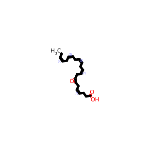 CC/C=C\C/C=C\C/C=C\C/C=C\CC1OC1C/C=C\CCC(=O)O